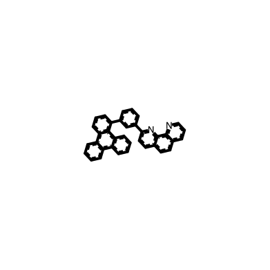 c1cc(-c2ccc3ccc4cccnc4c3n2)cc(-c2cccc3c4ccccc4c4ccccc4c23)c1